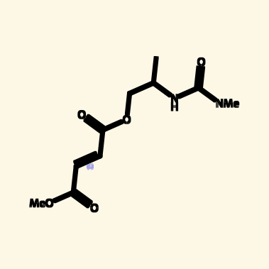 CNC(=O)NC(C)COC(=O)/C=C/C(=O)OC